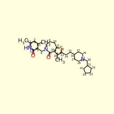 Cc1cc(C)c(CN2CCCc3sc(CCC4CCN(CC5CCCC5)CC4)c(C)c3C2=O)c(=O)[nH]1